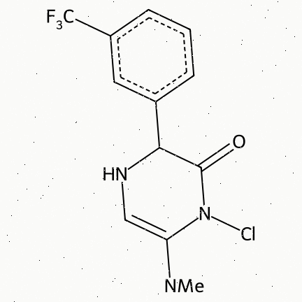 CNC1=CNC(c2cccc(C(F)(F)F)c2)C(=O)N1Cl